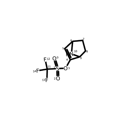 O=S(=O)(OC1=CC2CCC1N2)C(F)(F)F